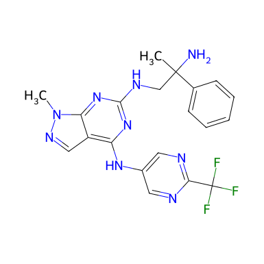 Cn1ncc2c(Nc3cnc(C(F)(F)F)nc3)nc(NCC(C)(N)c3ccccc3)nc21